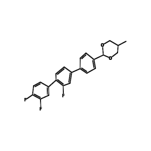 CC1COC(c2ccc(-c3ccc(-c4ccc(F)c(F)c4)c(F)c3)cc2)OC1